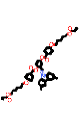 C=CC(=O)OCCCCCCOc1ccc(C(=O)Oc2ccc(OC(=O)c3ccc(OCCCCCCOC(=O)C=C)cc3)c(/C=N/n3c4ccc(C)cc4c4cc(C)ccc43)c2)cc1